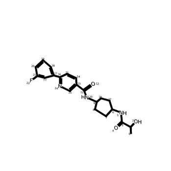 CC(O)C(=O)NC1CCC(NC(=O)c2ccc(-c3cccc(F)c3)nc2)CC1